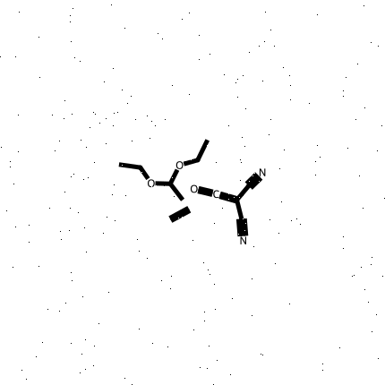 C=C.CCOC(C)OCC.N#CC(=C=O)C#N